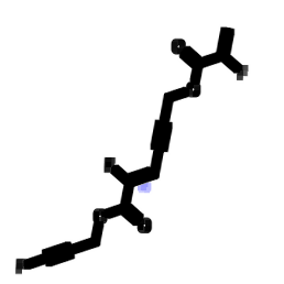 C=C(F)C(=O)OCC#C/C=C(\F)C(=O)OCC#CF